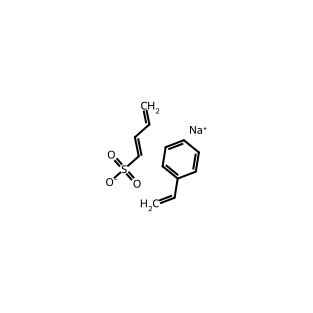 C=CC=CS(=O)(=O)[O-].C=Cc1ccccc1.[Na+]